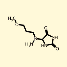 COCCCN(N)C1NC(=O)NC1=O